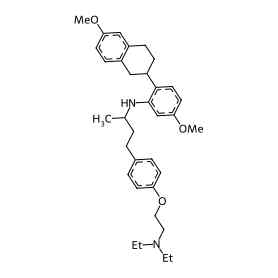 CCN(CC)CCOc1ccc(CCC(C)Nc2cc(OC)ccc2C2CCc3cc(OC)ccc3C2)cc1